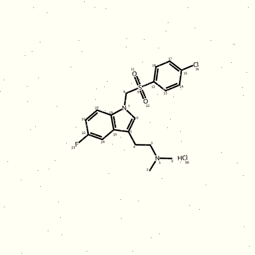 CN(C)CCc1cn(CS(=O)(=O)c2ccc(Cl)cc2)c2ccc(F)cc12.Cl